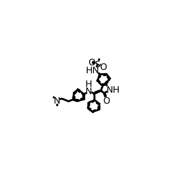 CN(C)CCc1ccc(N/C(=C2/C(=O)Nc3ccc(NS(C)(=O)=O)cc32)c2ccccc2)cc1